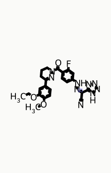 CCOc1cc(C2=NN(C(=O)c3ccc(N/N=C(/C#N)c4nnn[nH]4)cc3F)CCC2)ccc1OC